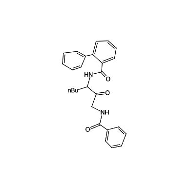 CCCCC(NC(=O)c1ccccc1-c1ccccc1)C(=O)CNC(=O)c1ccccc1